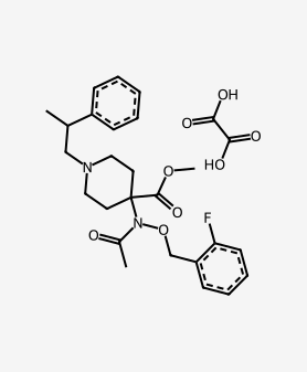 COC(=O)C1(N(OCc2ccccc2F)C(C)=O)CCN(CC(C)c2ccccc2)CC1.O=C(O)C(=O)O